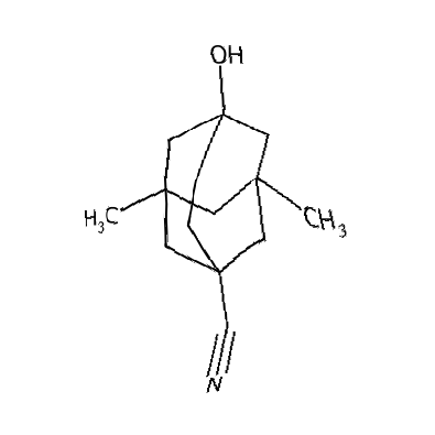 CC12CC3(C)CC(O)(C1)CC(C#N)(C2)C3